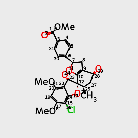 COC(=O)c1ccc([C@H]2CC3=C(O2)[C@@]2(Oc4c(Cl)c(OC)cc(OC)c4C2=O)[C@H](C)CC3=O)cc1